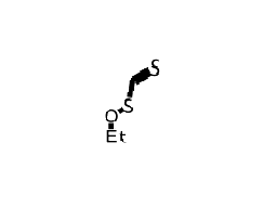 CCOSC=S